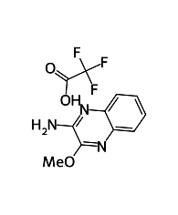 COc1nc2ccccc2nc1N.O=C(O)C(F)(F)F